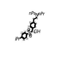 CCCN(CCC)CCc1ccc(CS(=O)(=O)c2ccc(C(C)C)cc2)cc1.Cl